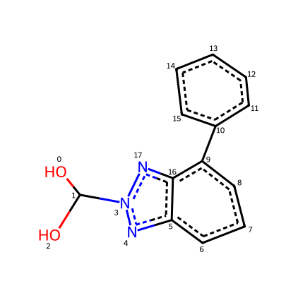 OC(O)n1nc2cccc(-c3ccccc3)c2n1